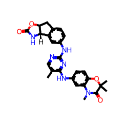 Cc1cnc(Nc2ccc3c(c2)[C@@H]2NC(=O)OC2C3)nc1Nc1ccc2c(c1)N(C)C(=O)C(C)(C)O2